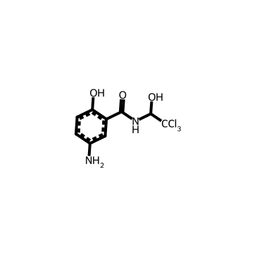 Nc1ccc(O)c(C(=O)NC(O)C(Cl)(Cl)Cl)c1